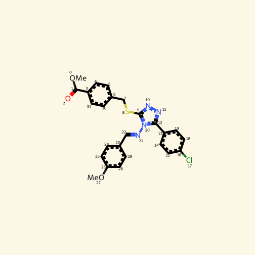 COC(=O)c1ccc(CSc2nnc(-c3ccc(Cl)cc3)n2N=Cc2ccc(OC)cc2)cc1